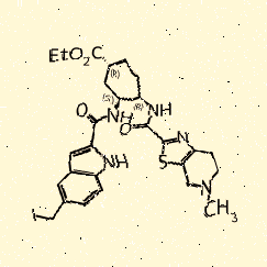 CCOC(=O)[C@@H]1CC[C@@H](NC(=O)c2nc3c(s2)CN(C)CC3)[C@@H](NC(=O)c2cc3cc(CI)ccc3[nH]2)C1